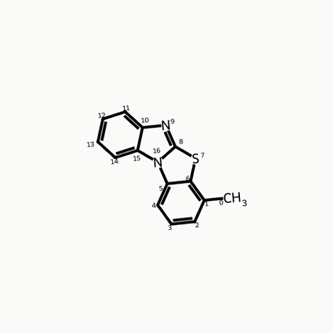 Cc1cccc2c1sc1nc3ccccc3n12